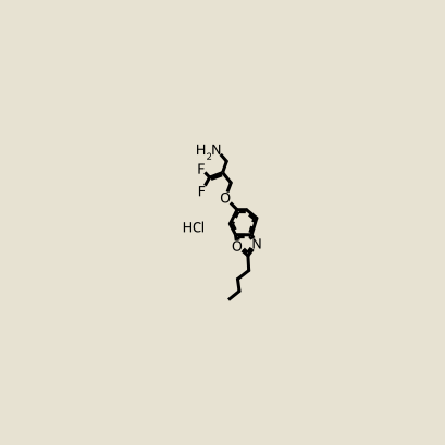 CCCCc1nc2ccc(OCC(CN)=C(F)F)cc2o1.Cl